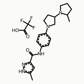 Cc1cc(C(=O)Nc2ccc(N3CCC(N4CCCC4C)C3)cc2)n[nH]1.O=C(O)C(F)(F)F